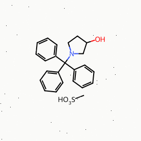 CS(=O)(=O)O.OC1CCN(C(c2ccccc2)(c2ccccc2)c2ccccc2)C1